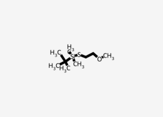 COCCS[Si](C)(C)C(C)(C)C